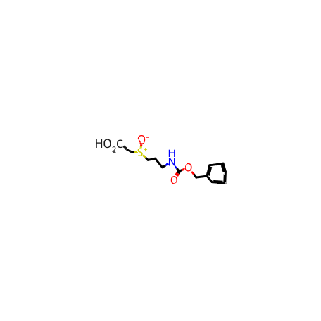 O=C(O)C[S+]([O-])CCCNC(=O)OCc1ccccc1